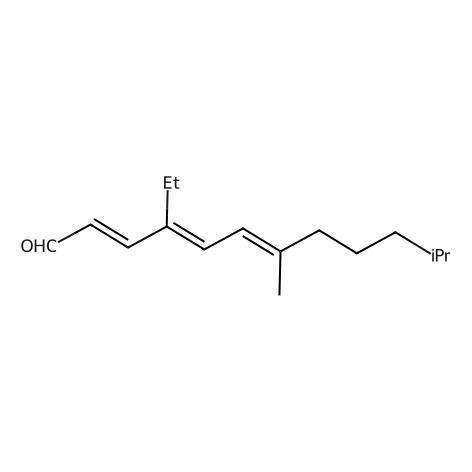 CCC(/C=C/C=O)=C\C=C(/C)CCCC(C)C